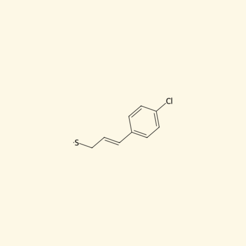 [S]CC=Cc1ccc(Cl)cc1